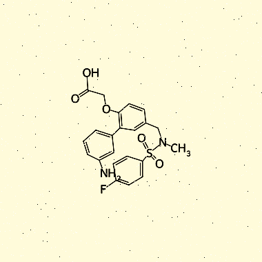 CN(Cc1ccc(OCC(=O)O)c(-c2cccc(N)c2)c1)S(=O)(=O)c1ccc(F)cc1